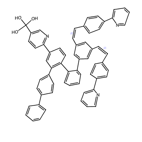 OC(O)(O)c1ccc(-c2ccc(-c3ccccc3-c3cc(/C=C\c4ccc(-c5ccccn5)cc4)cc(/C=C\c4ccc(-c5ccccn5)cc4)c3)c(-c3ccc(-c4ccccc4)cc3)c2)nc1